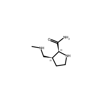 CNC[C@@H]1CCN[C@@H]1C(N)=O